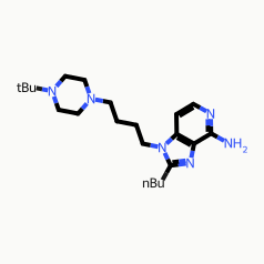 CCCCc1nc2c(N)nccc2n1CCCCN1CCN(C(C)(C)C)CC1